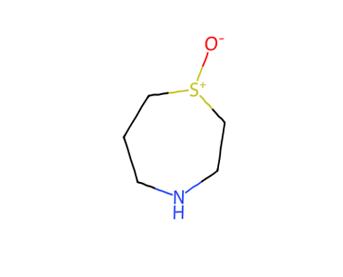 [O-][S+]1CCCNCC1